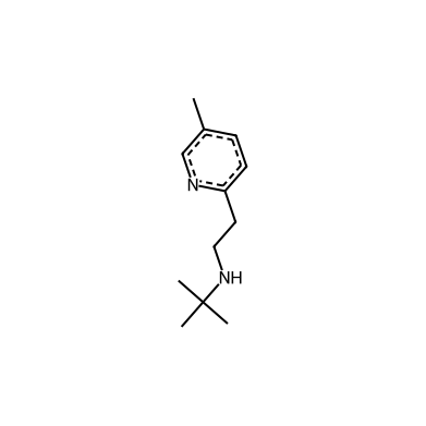 Cc1ccc(CCNC(C)(C)C)nc1